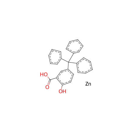 O=C(O)c1cc(C(c2ccccc2)(c2ccccc2)c2ccccc2)ccc1O.[Zn]